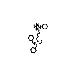 O=C(CCCSc1nnnn1C1CCCCC1)N(CC1CCCCC1)CC1CCCCC1